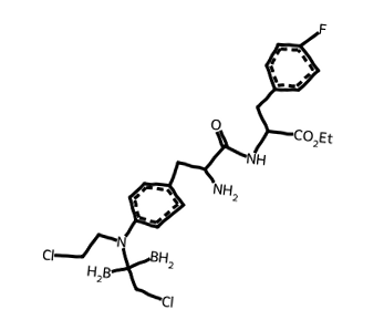 BC(B)(CCl)N(CCCl)c1ccc(CC(N)C(=O)NC(Cc2ccc(F)cc2)C(=O)OCC)cc1